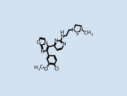 COc1cc(-c2nc3occn3c2-c2ccnc(NCCN3CCN(C)S3)n2)ccc1Cl